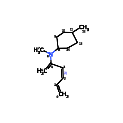 C=C/C=C\C(=C)N(C)C1CCC(C)CC1